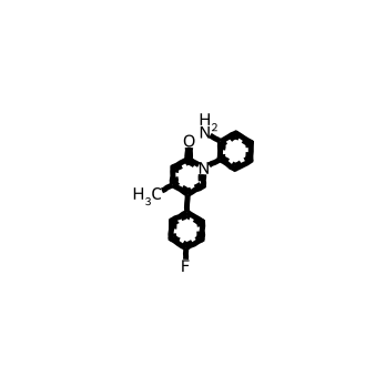 Cc1cc(=O)n(-c2ccccc2N)cc1-c1ccc(F)cc1